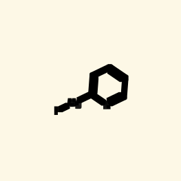 [F][Mg][c]1ccccn1